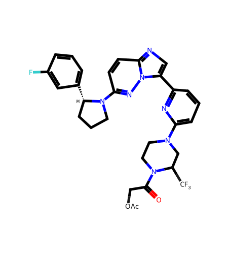 CC(=O)OCC(=O)N1CCN(c2cccc(-c3cnc4ccc(N5CCC[C@@H]5c5cccc(F)c5)nn34)n2)CC1C(F)(F)F